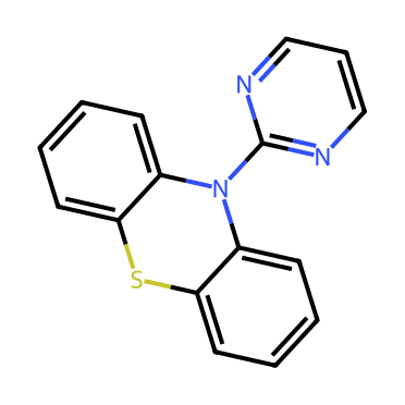 c1cnc(N2c3ccccc3Sc3ccccc32)nc1